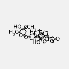 CO[C@H]1C[C@H](O[C@H]2CC[C@]3(C)C4=C(O)C(=O)[C@]5(C)[C@@H](C6=CC(=O)OC6)CC[C@]5(O)[C@@H]4CC[C@@H]3C2)O[C@@H](C)[C@@H]1O